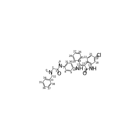 CN(CC(=O)N(C)c1ccc(N/C(=C2\C(=O)Nc3cc(Cl)ccc32)c2ccccc2)cc1)Cc1ccccc1